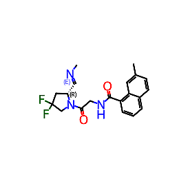 C/N=C/[C@H]1CC(F)(F)CN1C(=O)CNC(=O)c1cccc2ccc(C)cc12